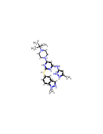 Cc1cc(Nc2cc(N3CCN(C(C)(C)C)CC3)nc(Sc3ccc4c(cnn4C)c3)n2)[nH]n1